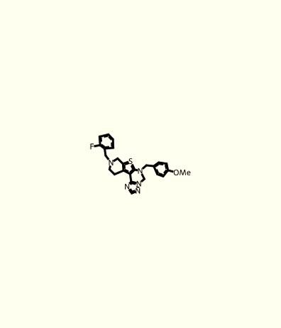 COc1ccc(CN2Cn3ncnc3-c3c2sc2c3CCN(Cc3ccccc3F)C2)cc1